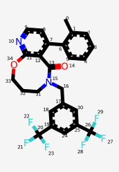 Cc1ccccc1-c1ccnc2c1C(=O)N(Cc1cc(C(F)(F)F)cc(C(F)(F)F)c1)CCCO2